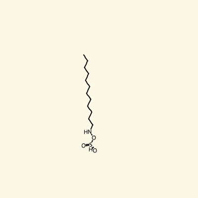 CCCCCCCCCCCCNO[SH](=O)=O